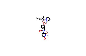 CO[C@@H](C)C(=O)N1CCCC[C@@H]1COc1ccc2c(c1)CN(C1CCC(=O)NC1=O)C2=O